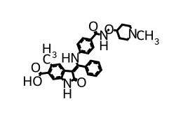 Cc1cc2c(cc1C(=O)O)NC(=O)C2=C(Nc1ccc(C(=O)NOC2CCN(C)CC2)cc1)c1ccccc1